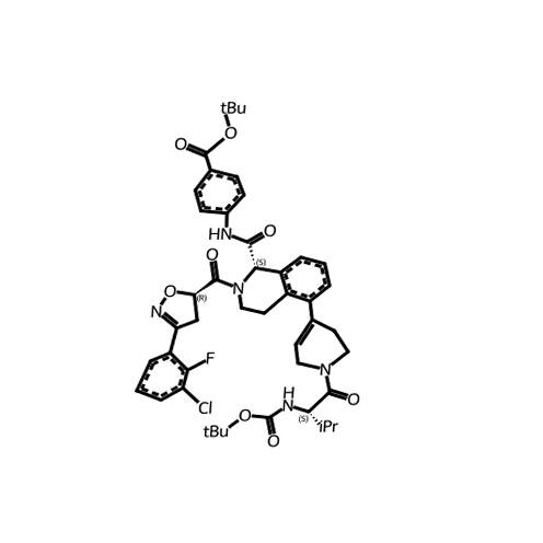 CC(C)[C@H](NC(=O)OC(C)(C)C)C(=O)N1CC=C(c2cccc3c2CCN(C(=O)[C@H]2CC(c4cccc(Cl)c4F)=NO2)[C@@H]3C(=O)Nc2ccc(C(=O)OC(C)(C)C)cc2)CC1